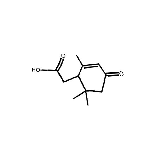 CC1=CC(=O)CC(C)(C)C1CC(=O)O